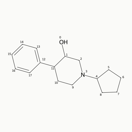 OC1CN(C2CCCC2)CCC1c1ccccc1